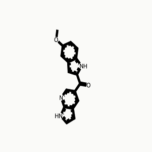 COc1ccc2[nH]c(C(=O)c3cnc4[nH]ccc4c3)cc2c1